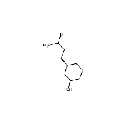 CCC(CC[C@H]1CCC[C@@H](O)C1)C(=O)O